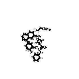 COCCOc1cc2ncnc(-c3ccc(F)c(Cl)c3)c2cc1NC1CN(C(=O)OCc2ccccc2)C1